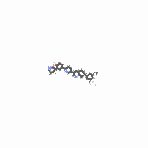 FC(F)(F)c1cc(-c2ccc3cc(-c4ccc(-c5ccc6oc7ncccc7c6c5)nc4)cnc3c2)cc(C(F)(F)F)c1